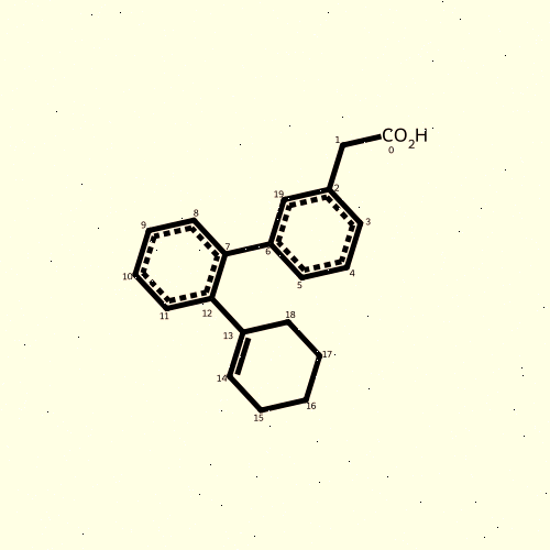 O=C(O)Cc1cccc(-c2ccccc2C2=CCCCC2)c1